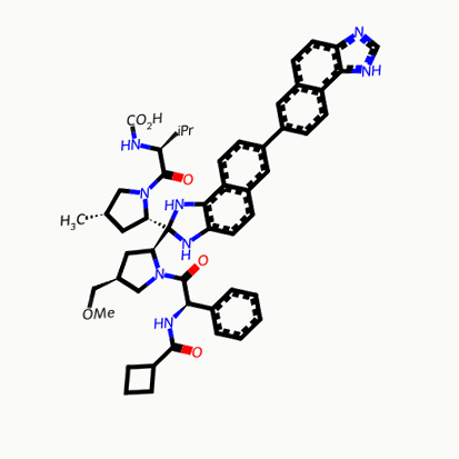 COC[C@H]1C[C@@H](C2([C@@H]3C[C@H](C)CN3C(=O)[C@@H](NC(=O)O)C(C)C)Nc3ccc4cc(-c5ccc6c(ccc7nc[nH]c76)c5)ccc4c3N2)N(C(=O)[C@H](NC(=O)C2CCC2)c2ccccc2)C1